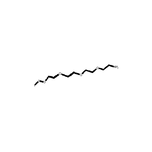 NCCOCCOCCOCCOSI